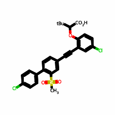 CC(C)(C)C(Oc1ccc(Cl)cc1C#Cc1ccc(-c2ccc(Cl)cc2)c(S(C)(=O)=O)c1)C(=O)O